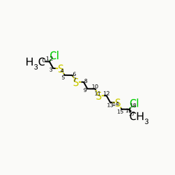 CC(Cl)CSCCSCCCSCCSCC(C)Cl